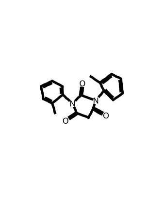 Cc1ccccc1N1C(=O)CC(=O)N(c2ccccc2C)C1=O